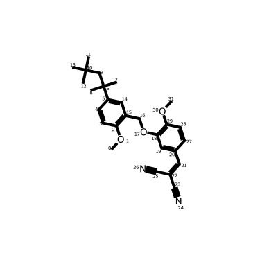 COc1ccc(C(C)(C)CC(C)(C)C)cc1COc1cc(C=C(C#N)C#N)ccc1OC